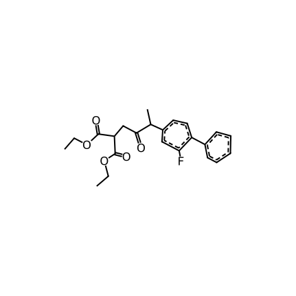 CCOC(=O)C(CC(=O)C(C)c1ccc(-c2ccccc2)c(F)c1)C(=O)OCC